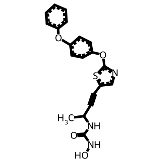 CC(C#Cc1cnc(Oc2ccc(Oc3ccccc3)cc2)s1)NC(=O)NO